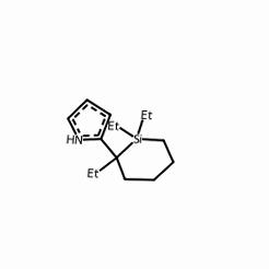 CCC1(c2ccc[nH]2)CCCC[Si]1(CC)CC